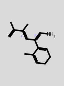 C=C(C)/C(C)=C/C(=C/N)C1=CCCC=C1C